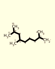 [CH2]C(C)CCCC(C)CC(C)C